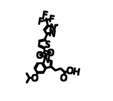 CC(C)Oc1ccc2c(c1)c(CCC(=O)O)cn2S(=O)(=O)c1ccc(-c2cc(C(F)(F)F)n(C)n2)s1